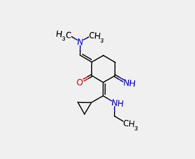 CCN/C(=C1\C(=N)CC/C(=C\N(C)C)C1=O)C1CC1